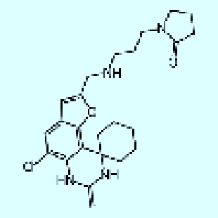 C=C1Nc2c(Cl)cc3cc(CNCCCN4CCCC4=O)oc3c2C2(CCCCC2)N1